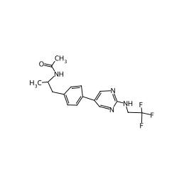 CC(=O)NC(C)Cc1ccc(-c2cnc(NCC(F)(F)F)nc2)cc1